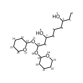 CCC(O)CCCC(O)CC(OC1CCCCO1)OC1CCCCO1